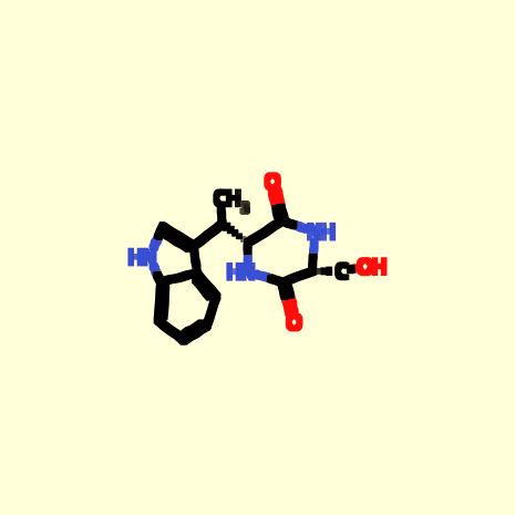 CC(c1c[nH]c2ccccc12)[C@H]1NC(=O)[C@@H](CO)NC1=O